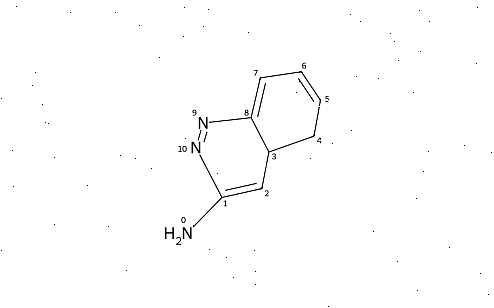 NC1=CC2CC=CC=C2N=N1